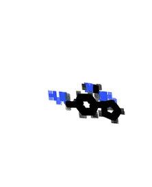 C#N.NCc1ccc(C2(N)CCCC2)cc1